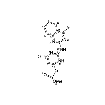 COC(=O)Cc1cc(=O)nc(Nc2nc(C)c3ccccc3n2)[nH]1